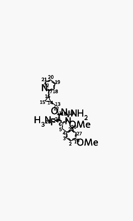 COc1ccc(Cc2nc(N)nc(OCC3CC3c3ccccn3)c2F)c(OC)c1.N